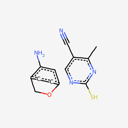 Cc1nc(S)ncc1C#N.Nc1cc2ccc1CO2